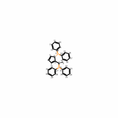 C[C@H](C1=CC=C[C@@H]1P(c1ccccc1)c1ccccc1)P(c1ccccc1)c1ccccc1